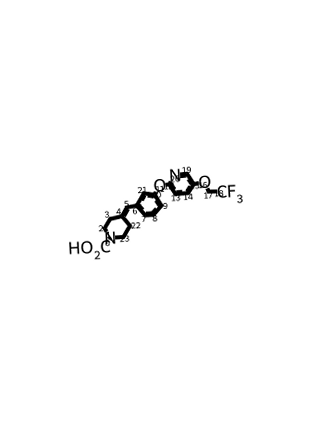 O=C(O)N1CCC(=Cc2cccc(Oc3ccc(OCC(F)(F)F)cn3)c2)CC1